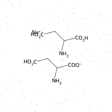 NC(CC(=O)O)C(=O)O.NC(CC(=O)O)C(=O)[O-].[Na+]